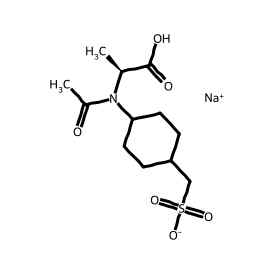 CC(=O)N(C1CCC(CS(=O)(=O)[O-])CC1)[C@@H](C)C(=O)O.[Na+]